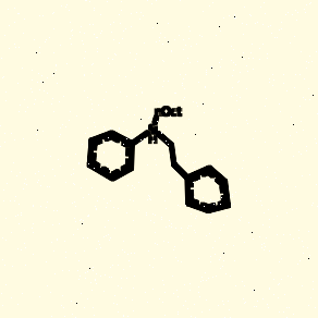 CCCCCCCC[SiH](CCc1ccccc1)c1ccccc1